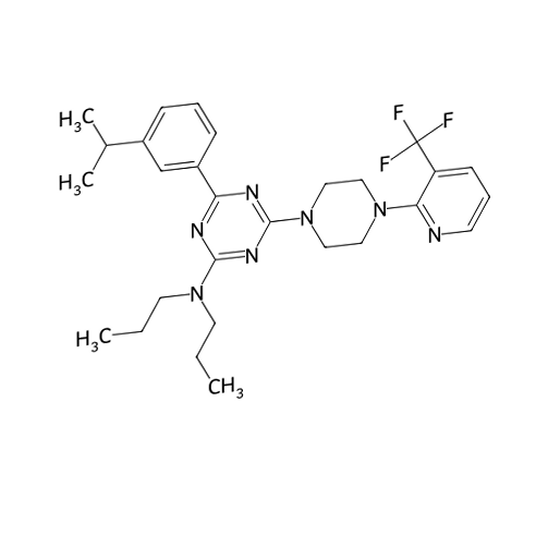 CCCN(CCC)c1nc(-c2cccc(C(C)C)c2)nc(N2CCN(c3ncccc3C(F)(F)F)CC2)n1